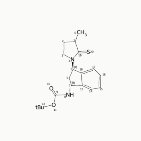 CC1CCN([C@@H]2C[C@@H](NC(=O)OC(C)(C)C)c3ccccc32)C1=S